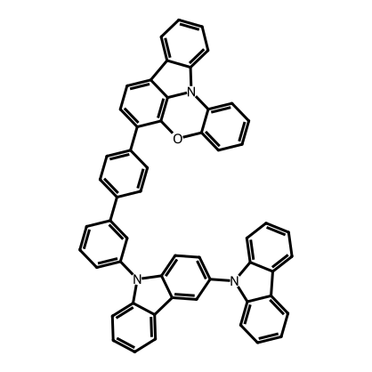 c1cc(-c2ccc(-c3ccc4c5ccccc5n5c4c3Oc3ccccc3-5)cc2)cc(-n2c3ccccc3c3cc(-n4c5ccccc5c5ccccc54)ccc32)c1